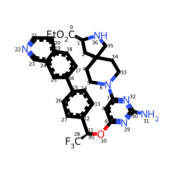 CCOC(=O)C1CC2(CCN(c3cc(O[C@H](c4ccc(-c5ccc6ccncc6c5)cc4)C(F)(F)F)nc(N)n3)CC2)CN1